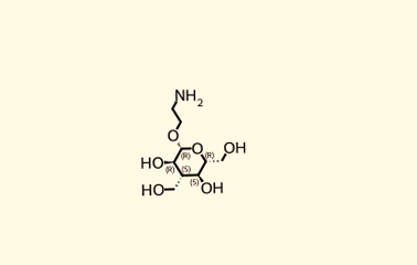 NCCO[C@@H]1O[C@H](CO)[C@@H](O)[C@H](CO)[C@H]1O